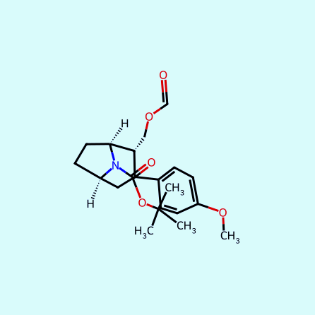 COc1ccc(C2C[C@H]3CC[C@@H]([C@@H]2COC=O)N3C(=O)OC(C)(C)C)cc1